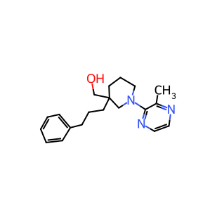 Cc1nccnc1N1CCCC(CO)(CCCc2ccccc2)C1